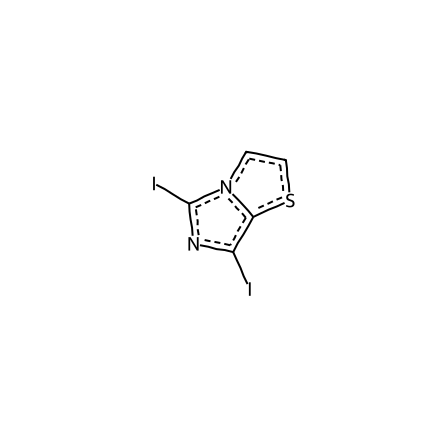 Ic1nc(I)n2ccsc12